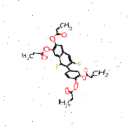 C=CC(=O)Oc1ccc(-c2c(F)cc3cc(OC(=O)C=C)c(OC(=O)C=C)cc3c2F)cc1OC(=O)C=C